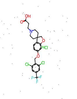 Cl.O=C(O)CCN1CCC2(CC1)COc1cc(OCc3c(Cl)cc(C(F)(F)F)cc3Cl)ccc12